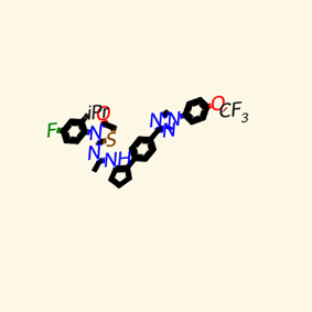 CC(/N=C1\SCC(=O)N1c1ccc(F)cc1C(C)C)NC1=C(c2ccc(-c3ncn(-c4ccc(OC(F)(F)F)cc4)n3)cc2)CCC1